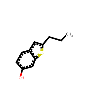 CCCc1cc2ccc(O)cc2s1